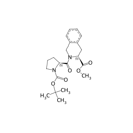 COC(=O)[C@@H]1Cc2ccccc2CN1C(=O)[C@@H]1CCCN1C(=O)OC(C)(C)C